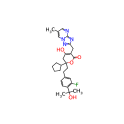 Cc1cnc2nc(CC3=C(O)CC(CCc4ccc(C(C)(C)O)c(F)c4)(C4CCCC4)OC3=O)nn2c1